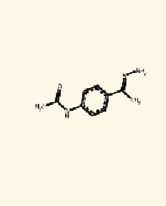 CC(=O)Nc1ccc(C(C)=NN)cc1